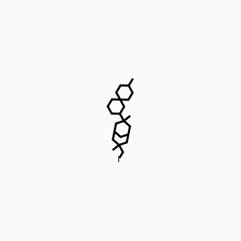 CC1CCC2(CCCC(C3(C)CC4CC(CC(C)(CI)C4)C3)C2)CC1